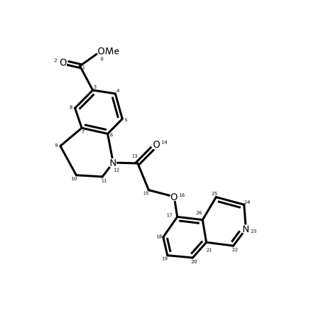 COC(=O)c1ccc2c(c1)CCCN2C(=O)COc1cccc2cnccc12